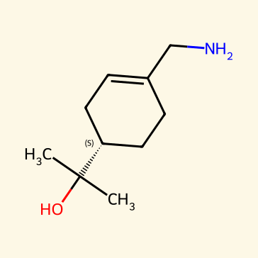 CC(C)(O)[C@@H]1CC=C(CN)CC1